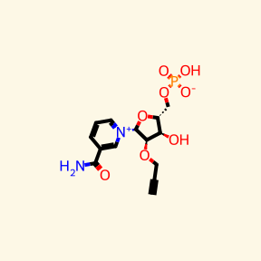 C#CCO[C@@H]1[C@H](O)[C@@H](COP(=O)([O-])O)O[C@H]1[n+]1cccc(C(N)=O)c1